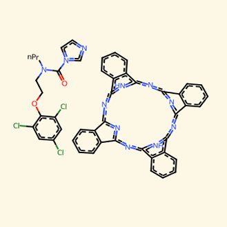 CCCN(CCOc1c(Cl)cc(Cl)cc1Cl)C(=O)n1ccnc1.c1ccc2c(c1)-c1nc-2nc2[nH]c(nc3nc(nc4[nH]c(n1)c1ccccc41)-c1ccccc1-3)c1ccccc21